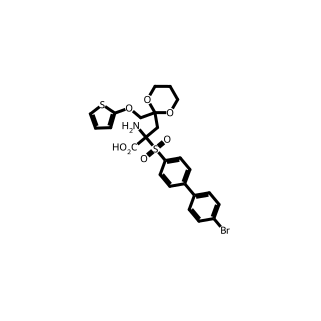 NC(CC1(COc2cccs2)OCCCO1)(C(=O)O)S(=O)(=O)c1ccc(-c2ccc(Br)cc2)cc1